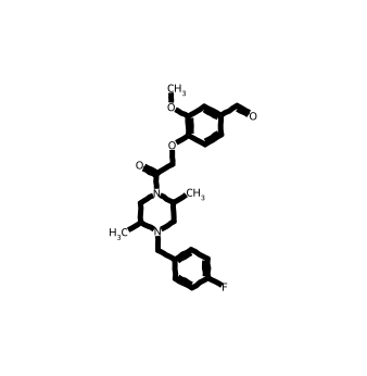 COc1cc(C=O)ccc1OCC(=O)N1CC(C)N(Cc2ccc(F)cc2)CC1C